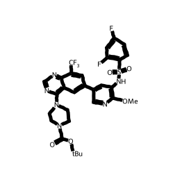 COc1ncc(-c2cc(C(F)(F)F)c3ncnc(N4CCN(C(=O)OC(C)(C)C)CC4)c3c2)cc1NS(=O)(=O)c1ccc(F)cc1F